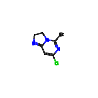 CCC1=NC(Cl)=CC2=NCCN21